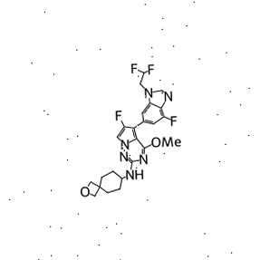 COc1nc(NC2CCC3(CC2)COC3)nn2cc(F)c(-c3cc(F)c4ncn(CC(F)F)c4c3)c12